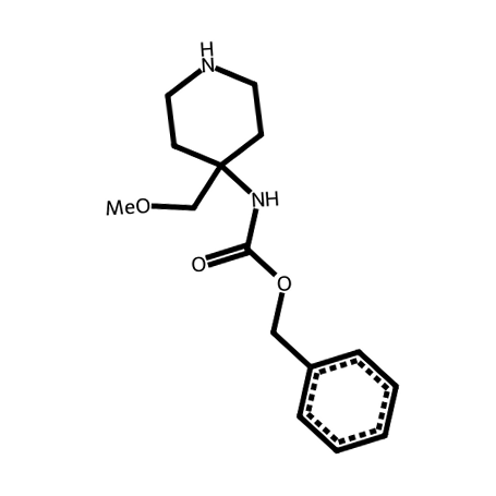 COCC1(NC(=O)OCc2ccccc2)CCNCC1